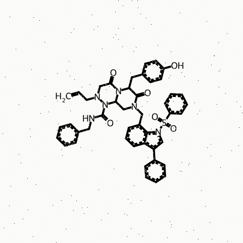 C=CCN1CC(=O)N2C(Cc3ccc(O)cc3)C(=O)N(Cc3cccc4c(-c5ccccc5)cn(S(=O)(=O)c5ccccc5)c34)CC2N1C(=O)NCc1ccccc1